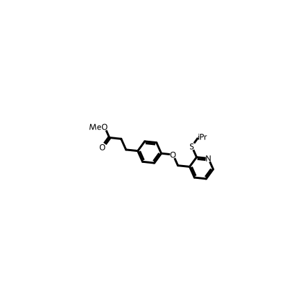 COC(=O)CCc1ccc(OCc2cccnc2SC(C)C)cc1